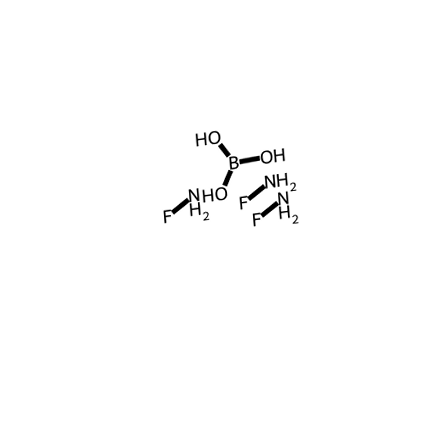 NF.NF.NF.OB(O)O